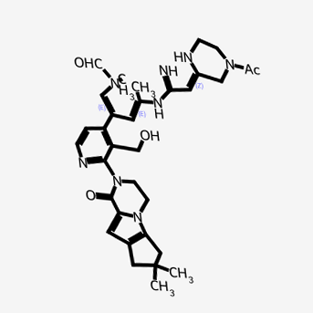 CC(=O)N1CCN/C(=C\C(=N)N/C(C)=C/C(=C\N(C)C=O)c2ccnc(N3CCn4c(cc5c4CC(C)(C)C5)C3=O)c2CO)C1